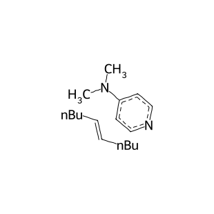 CCCCC=CCCCC.CN(C)c1ccncc1